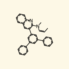 C/C=C\N(C)c1nc2ccccc2cc1-c1cc(-c2ccccc2)cc(-c2ccccc2)c1